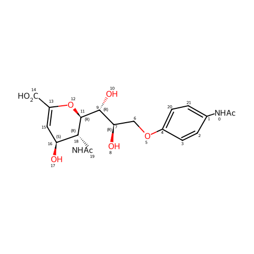 CC(=O)Nc1ccc(OC[C@@H](O)[C@@H](O)[C@@H]2OC(C(=O)O)=C[C@H](O)[C@H]2NC(C)=O)cc1